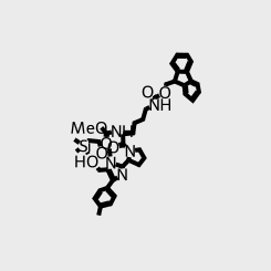 COC(=O)NC(CCCCNC(=O)OCC1c2ccccc2-c2ccccc21)C(=O)N1CCCC1c1nc(-c2ccc(C)cc2)c(CO)n1COCC[Si](C)(C)C